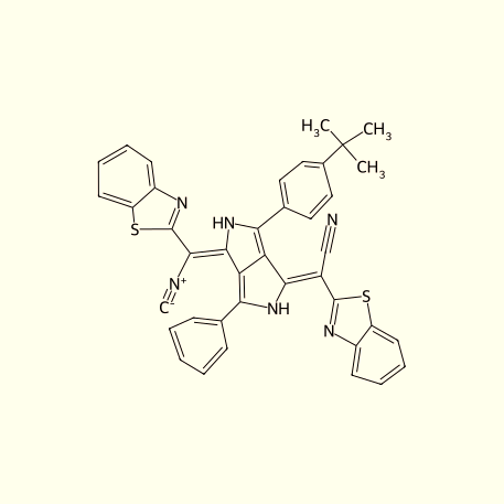 [C-]#[N+]/C(c1nc2ccccc2s1)=c1/[nH]c(-c2ccc(C(C)(C)C)cc2)c2/c(=C(\C#N)c3nc4ccccc4s3)[nH]c(-c3ccccc3)c12